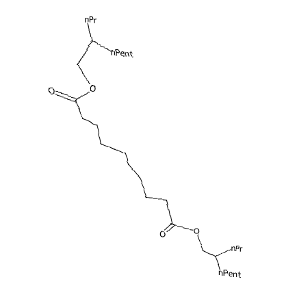 CCCCCC(CCC)COC(=O)CCCCCCCCC(=O)OCC(CCC)CCCCC